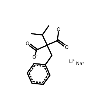 CC(C)C(Cc1ccccc1)(C(=O)[O-])C(=O)[O-].[Li+].[Na+]